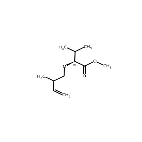 C=CC(C)CO[C@H](C(=O)OC)C(C)C